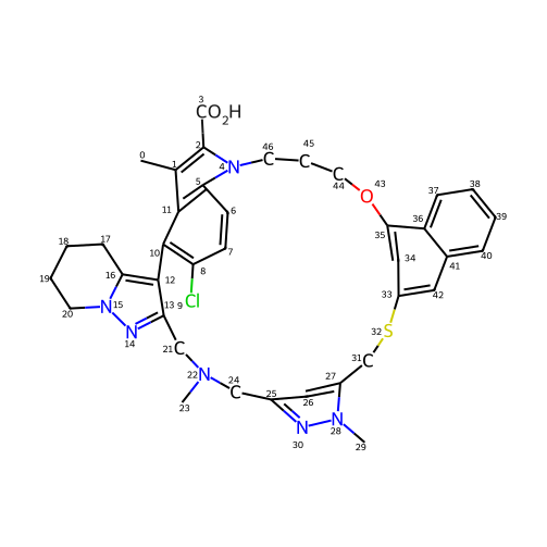 Cc1c(C(=O)O)n2c3ccc(Cl)c(c13)-c1c(nn3c1CCCC3)CN(C)Cc1cc(n(C)n1)CSc1cc(c3ccccc3c1)OCCC2